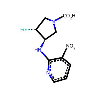 O=C(O)N1C[C@@H](F)[C@H](Nc2ncccc2[N+](=O)[O-])C1